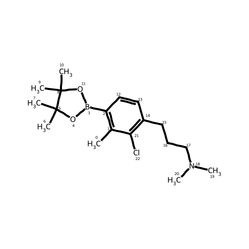 Cc1c(B2OC(C)(C)C(C)(C)O2)ccc(CCCN(C)C)c1Cl